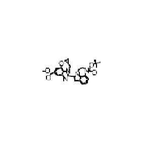 COC(=O)c1cc(OC)c2c(c1)nc(-c1cc3cccc4c3n1CCN4C(=O)OC(C)(C)C)n2CC1CC1